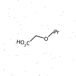 [CH2]C(C)OCC(=O)O